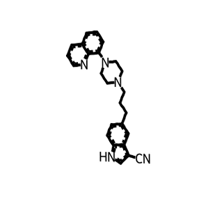 N#Cc1c[nH]c2ccc(CCCN3CCN(c4cccc5cccnc45)CC3)cc12